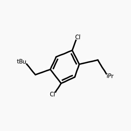 CC(C)Cc1cc(Cl)c(CC(C)(C)C)cc1Cl